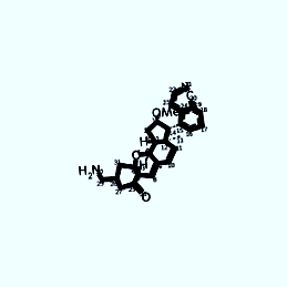 CO[C@@H]1C[C@H]2[C@@H]3OC4=C(C=C3C=C[C@]2(C)[C@H]1c1cccc2cnccc12)C(=O)CC(CN)C4